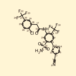 N#Cc1cnn(-c2cc(C(F)(F)F)c(NC(=O)Cc3cc(C(F)(F)F)ccc3Cl)cc2S(N)(=O)=O)c1